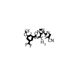 C[C@H](NC(=O)c1cc(OC(F)(F)F)cc(C(F)F)c1)c1ncnn1-c1ncc(C#N)s1